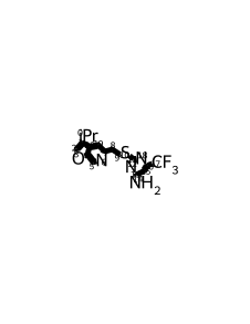 CC(C)c1coc2cnc(CCSc3nc(N)cc(C(F)(F)F)n3)cc12